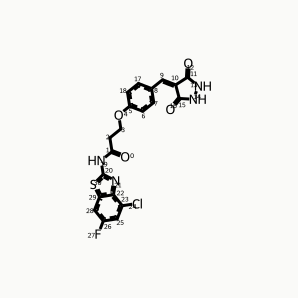 O=C(CCOc1ccc(C=C2C(=O)NNC2=O)cc1)Nc1nc2c(Cl)cc(F)cc2s1